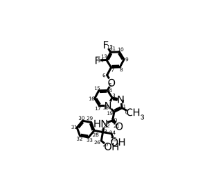 Cc1nc2c(OCc3cccc(F)c3F)cccn2c1C(=O)NC(CO)(CO)c1ccccc1